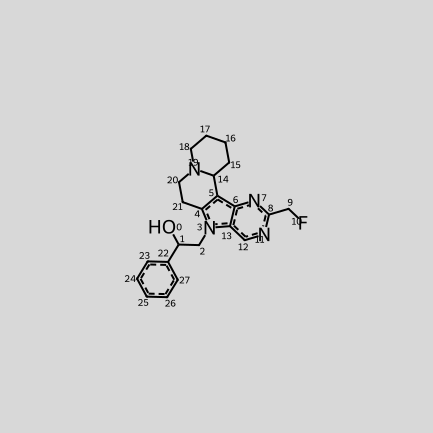 OC(Cn1c2c(c3nc(CF)ncc31)C1CCCCN1CC2)c1ccccc1